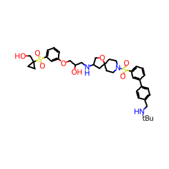 CC(C)(C)NCc1ccc(-c2cccc(S(=O)(=O)N3CCC4(CC3)CC(NCC(O)COc3cccc(S(=O)(=O)C5(CO)CC5)c3)CO4)c2)cc1